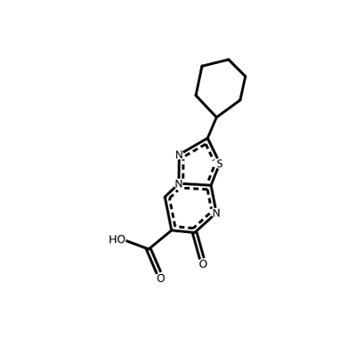 O=C(O)c1cn2nc(C3CCCCC3)sc2nc1=O